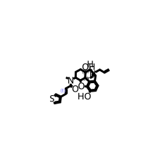 C=CCN1CC[C@]23c4c5ccc(O)c4OC2C(N(C)C(=O)/C=C/c2ccsc2)CC[C@@]3(O)[C@H]1C5